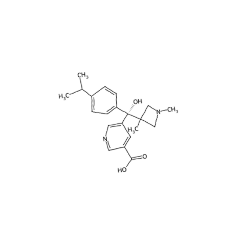 CC(C)c1ccc([C@](O)(c2cncc(C(=O)O)c2)C2(C)CN(C)C2)cc1